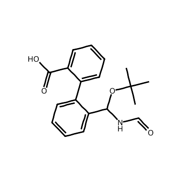 CC(C)(C)OC(NC=O)c1ccccc1-c1ccccc1C(=O)O